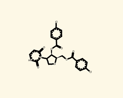 O=C(OC[C@H]1OCC(n2c(=O)cc[nH]c2=O)[C@H]1OC(=O)c1ccc(Cl)cc1)c1ccc(Cl)cc1